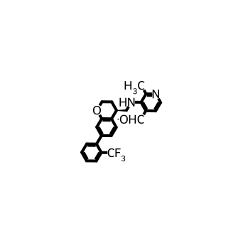 Cc1nccc([C]=O)c1NC[C@@H]1CCOc2cc(-c3ccccc3C(F)(F)F)ccc21